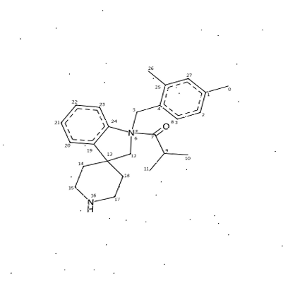 Cc1ccc(C[N+]2(C(=O)C(C)C)CC3(CCNCC3)c3ccccc32)c(C)c1